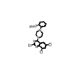 CCc1nc(N2CCN(c3ccccc3OC)CC2)c2cc(Cl)cc(Cl)c2n1